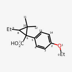 CCOc1ccc(C2(C(=O)O)C(CC)C2(C)C)cc1